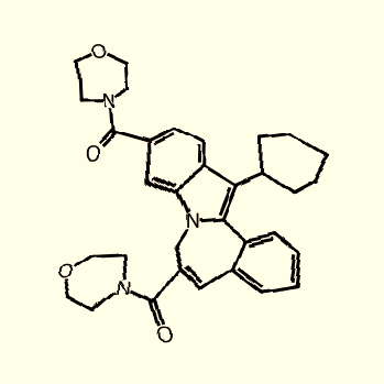 O=C(C1=Cc2ccccc2-c2c(C3CCCCC3)c3ccc(C(=O)N4CCOCC4)cc3n2C1)N1CCOCC1